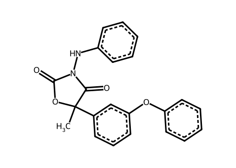 CC1(c2cccc(Oc3ccccc3)c2)OC(=O)N(Nc2ccccc2)C1=O